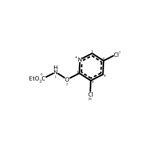 CCOC(=O)NOc1ncc(Cl)cc1Cl